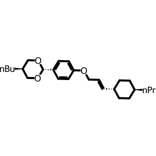 CCCC[C@H]1CO[C@H](c2ccc(OCC=C[C@H]3CC[C@H](CCC)CC3)cc2)OC1